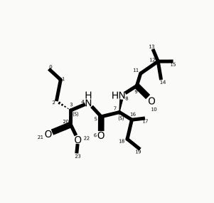 CCC[C@H](NC(=O)[C@@H](NC(=O)CC(C)(C)C)C(C)CC)C(=O)OC